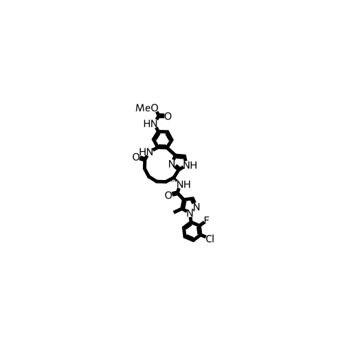 COC(=O)Nc1ccc2c(c1)NC(=O)CCCC[C@H](NC(=O)c1cnn(-c3cccc(Cl)c3F)c1C)c1nc-2c[nH]1